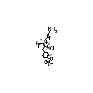 Cc1nn(CC(F)=CCN)c(C(F)(F)F)c1Cc1ccc(S(=O)(=O)N(C)C)c(Cl)c1.Cl